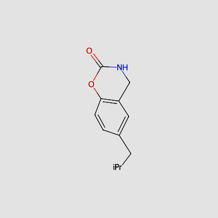 CC(C)Cc1ccc2c(c1)CNC(=O)O2